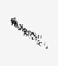 CCCCC[SiH]1CCC(C2CCC(CCc3ccc(OCC(F)(F)F)cc3)CC2)CC1